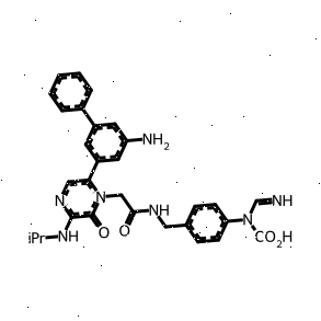 CC(C)Nc1ncc(-c2cc(N)cc(-c3ccccc3)c2)n(CC(=O)NCc2ccc(N(C=N)C(=O)O)cc2)c1=O